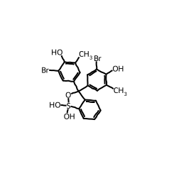 Cc1cc(C2(c3cc(C)c(O)c(Br)c3)OS(O)(O)c3ccccc32)cc(Br)c1O